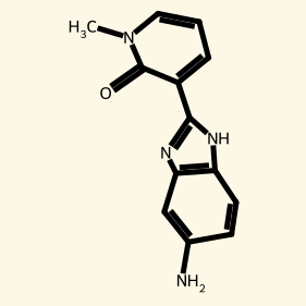 Cn1cccc(-c2nc3cc(N)ccc3[nH]2)c1=O